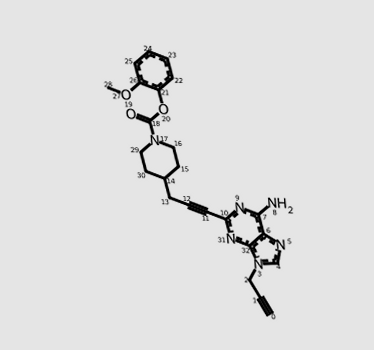 C#CCn1cnc2c(N)nc(C#CCC3CCN(C(=O)Oc4ccccc4OC)CC3)nc21